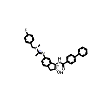 C/C(=N\c1ccc2c(c1)[C@@H](NC(=O)c1ccc(-c3ccccc3)cc1)[C@H](O)C2)N(C)Cc1ccc(F)cc1